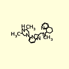 CC1CN(C2=CC=CC3=NC(CN(C)C4CCCc5cccnc54)CN23)CC(C)N1